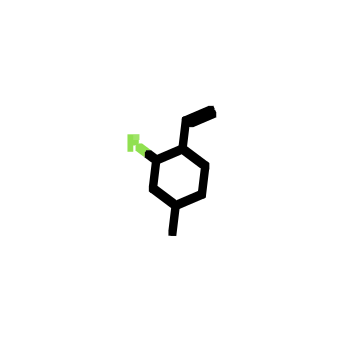 C=CC1CCC(C)CC1F